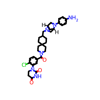 Nc1ccc(N2C[C@@H]3C[C@H]2CN3CC2CCC3(CC2)CCN(C(=O)c2ccc(Cl)c(N4CCC(=O)NC4=O)c2)CC3)cc1